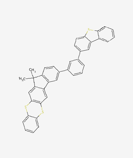 CC1(C)c2ccc(-c3cccc(-c4ccc5sc6ccccc6c5c4)c3)cc2-c2cc3c(cc21)Sc1ccccc1S3